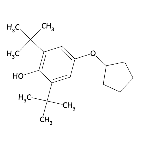 CC(C)(C)c1cc(OC2CCCC2)cc(C(C)(C)C)c1O